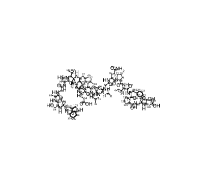 CC[C@H](C)[C@H](NC(=O)[C@@H]1CCCN1C(=O)[C@H](CCC(N)=O)NC(=O)CNC(=O)[C@H](CC(C)C)NC(=O)[C@H](CC(C)C)NC(=O)[C@H](CC(C)C)NC(=O)[C@H](CCC(=O)O)NC(=O)[C@H](C)NC(=O)[C@H](CC(C)C)NC(=O)[C@@H](NC(=O)[C@H](CS)NC(=O)CNC(=O)[C@H](C)NC(=O)[C@H](CO)NC(=O)[C@@H](N)Cc1c[nH]c2ccccc12)C(C)C)C(=O)N[C@@H](Cc1ccccc1)C(=O)N1CCC[C@H]1C(=O)NCC(=O)N[C@@H](CC(=O)O)C(=O)O